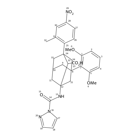 COc1cccc(OC)c1C12CC3CC(NC(=O)n4cccn4)(C1)C(C(=O)O)C(c1ccc([N+](=O)[O-])cc1C)(C3)C2